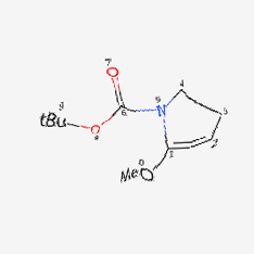 COC1=CCCN1C(=O)OC(C)(C)C